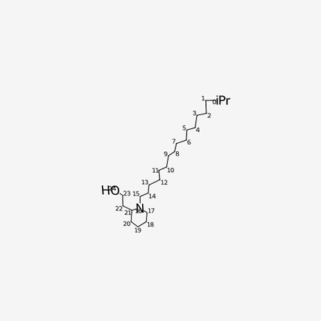 CC(C)CCCCCCCCCCCCCCCN1CCCCC1CCO